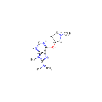 CCn1c(N(C)C(C)C)nc2c(OC3CCN(C(=O)O)C3)ncnc21